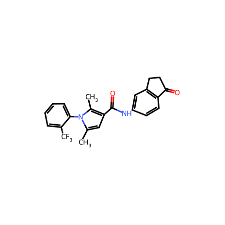 Cc1cc(C(=O)Nc2ccc3c(c2)CCC3=O)c(C)n1-c1ccccc1C(F)(F)F